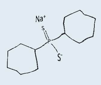 S=P([S-])(C1CCCCC1)C1CCCCC1.[Na+]